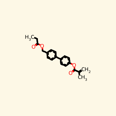 C=C(C)C(=O)Oc1ccc(-c2ccc(COC(=O)CC)cc2)cc1